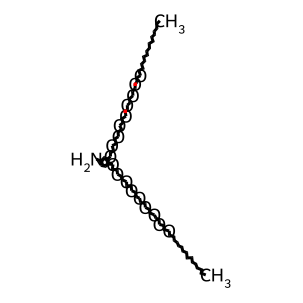 CCCCCCCCCCCCCCCCOCCOCCOCCOCCOCCOCCOCCOCCOc1ccc(N)cc1OCCOCCOCCOCCOCCOCCOCCOCCOCCCCCCCCCCCCCCCC